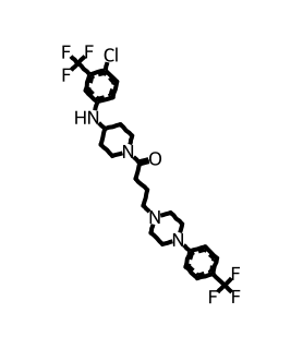 O=C(CCCN1CCN(c2ccc(C(F)(F)F)cc2)CC1)N1CCC(Nc2ccc(Cl)c(C(F)(F)F)c2)CC1